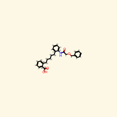 O=C(COCc1ccccc1)Nc1ccccc1CCCCCc1ccccc1C(=O)O